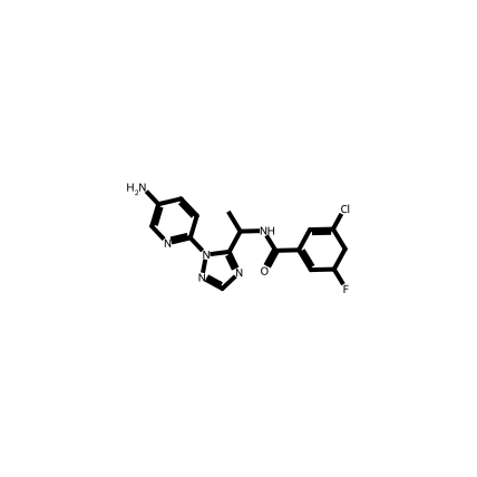 CC(NC(=O)C1=CC(F)CC(Cl)=C1)c1ncnn1-c1ccc(N)cn1